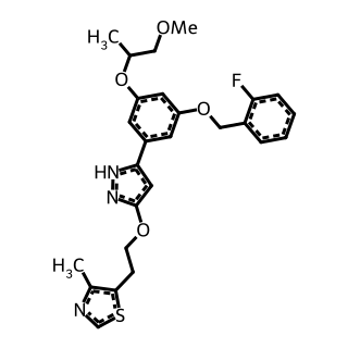 COCC(C)Oc1cc(OCc2ccccc2F)cc(-c2cc(OCCc3scnc3C)n[nH]2)c1